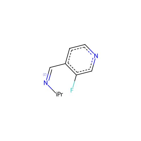 CC(C)/N=C\c1ccncc1F